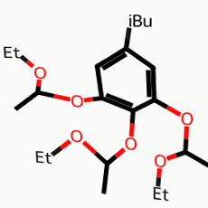 CCOC(C)Oc1cc(C(C)CC)cc(OC(C)OCC)c1OC(C)OCC